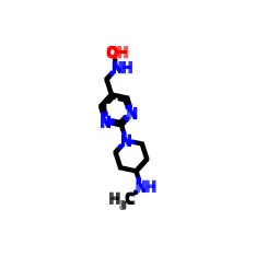 CNC1CCN(c2ncc(CNO)cn2)CC1